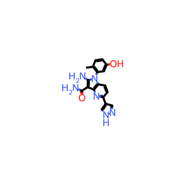 Cc1ccc(O)cc1-n1c(N)c(C(N)=O)c2nc(-c3cn[nH]c3)ccc21